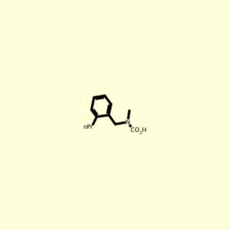 CCCc1ccccc1CN(C)C(=O)O